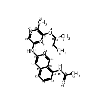 CC[C@@H](C)Oc1nc(Nc2cc3cccc(NC(C)=O)c3cn2)cnc1C